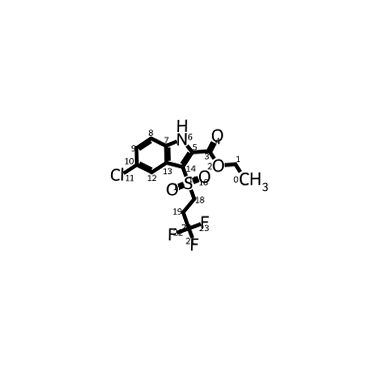 CCOC(=O)c1[nH]c2ccc(Cl)cc2c1S(=O)(=O)CCC(F)(F)F